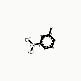 Cc1cccc(N(Cl)Cl)c1